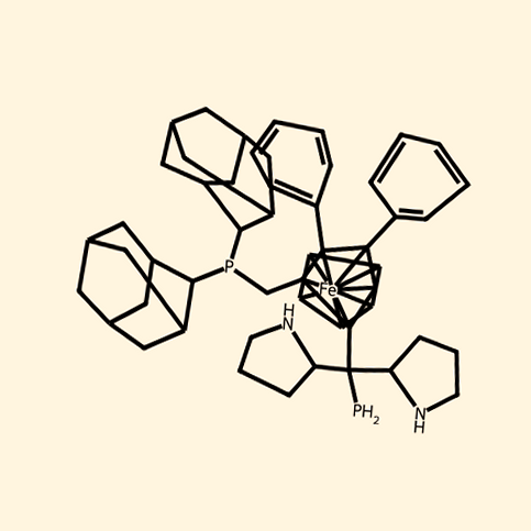 PC(C1CCCN1)(C1CCCN1)[C]12[CH]3[C]4(c5ccccc5)[C]5(c6ccccc6)[C]1(CP(C1C6CC7CC(C6)CC1C7)C1C6CC7CC(C6)CC1C7)[Fe]34521678[CH]2[CH]1[CH]6[CH]7[CH]28